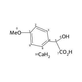 COc1ccc(C(O)C(=O)O)cc1.[CaH2]